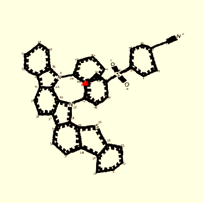 N#Cc1ccc(S(=O)(=O)c2ccc(-n3c4c(ccc5c6ccccc6sc54)c4ccc5c6ccccc6n(-c6ccccc6)c5c43)cc2)cc1